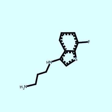 NCCCNc1csc2c(F)cccc12